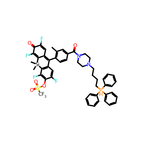 Cc1cc(C(=O)N2CCN(CCCC[PH](c3ccccc3)(c3ccccc3)c3ccccc3)CC2)ccc1C1=C2C=C(F)C(=O)C(F)=C2[Si](C)(C)c2c1cc(F)c(OS(=O)(=O)C(F)(F)F)c2F